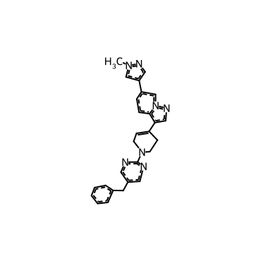 Cn1cc(-c2ccc3c(C4=CCN(c5ncc(Cc6ccccc6)cn5)CC4)cnn3c2)cn1